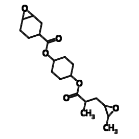 CC(CC1OC1C)C(=O)OC1CCC(OC(=O)C2CCC3OC3C2)CC1